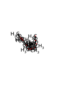 C=CC(=O)OCCOC(=O)NC1CCC(C)(CNC(=O)OCC(C)(COC)COCC(C)(C)COCC(C)(COCC(F)(F)F)COC(=O)NCC2(C)CCC(NC(=O)OCCOC(=O)C=C)C(C)(C)C2)CC1(C)C